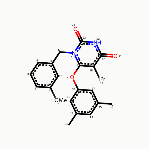 COc1cccc(Cn2c(Oc3cc(C)cc(C)c3)c(C(C)C)c(=O)[nH]c2=O)c1